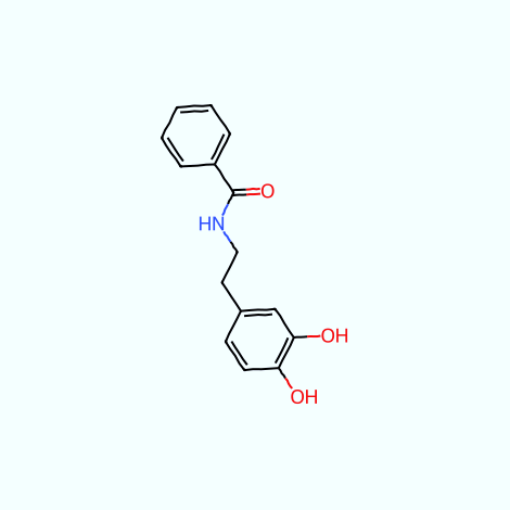 O=C(NCCc1ccc(O)c(O)c1)c1ccccc1